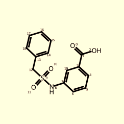 O=C(O)c1cccc(NS(=O)(=O)Cc2ccccc2)c1